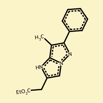 CCOC(=O)Cc1cn2nc(-c3ccccc3)c(C)c2[nH]1